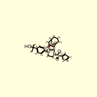 CC(C)(O)c1ccc(N2CCN(S(=O)(=O)c3cccs3)C[C@@H]2CN2C3CCCC2CC(=O)C3)cc1